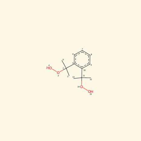 CC(C)(OO)c1ccccc1C(C)(C)OO